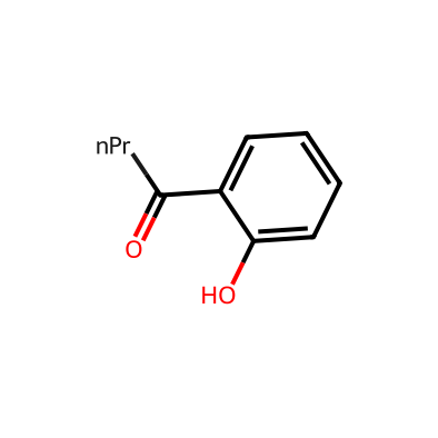 CCCC(=O)c1ccccc1O